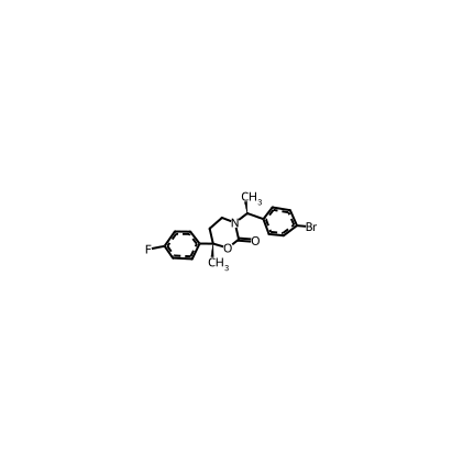 C[C@@H](c1ccc(Br)cc1)N1CC[C@@](C)(c2ccc(F)cc2)OC1=O